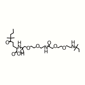 CCCC(C)(C)C(=O)CCC(NC(=O)COCCOCCNC(=O)COCCOCCNC(C)(C)CC)C(=O)O